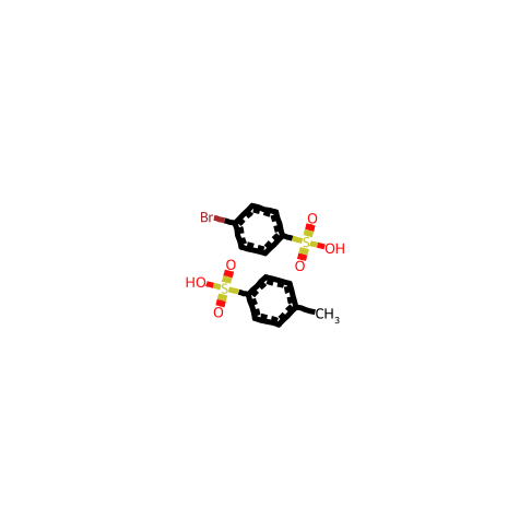 Cc1ccc(S(=O)(=O)O)cc1.O=S(=O)(O)c1ccc(Br)cc1